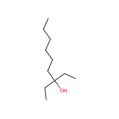 [CH2]CC(O)(CC)CCCCCC